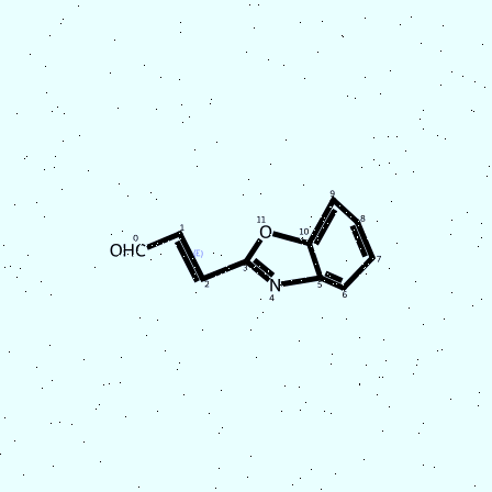 O=C/C=C/c1nc2ccccc2o1